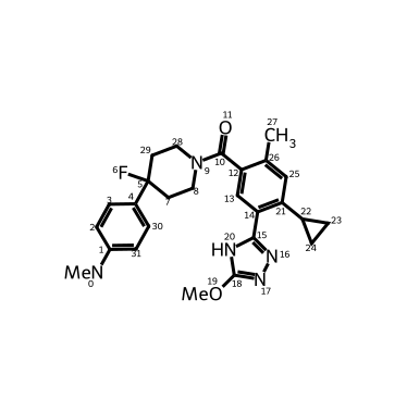 CNc1ccc(C2(F)CCN(C(=O)c3cc(-c4nnc(OC)[nH]4)c(C4CC4)cc3C)CC2)cc1